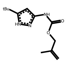 C=C(C)COC(=O)Nc1cc(C(C)(C)C)[nH]n1